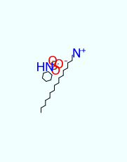 CCCCCCCCCCCCCCCC[N+](C)(C)C.O=S(=O)([O-])NC1CCCCC1